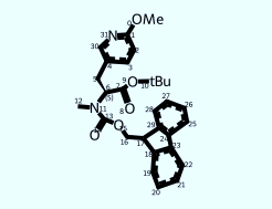 COc1ccc(C[C@@H](C(=O)OC(C)(C)C)N(C)C(=O)OCC2c3ccccc3-c3ccccc32)cn1